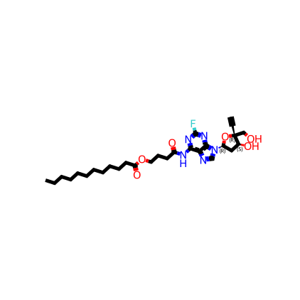 C#C[C@]1(CO)O[C@@H](n2cnc3c(NC(=O)CCCOC(=O)CCCCCCCCCCC)nc(F)nc32)C[C@@H]1O